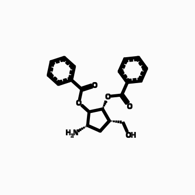 N[C@H]1C[C@@H](CO)[C@@H](OC(=O)c2ccccc2)C1OC(=O)c1ccccc1